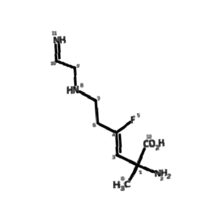 CC(N)(/C=C(\F)CCNCC=N)C(=O)O